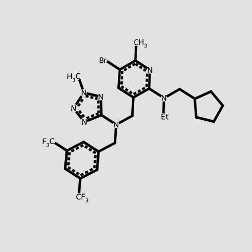 CCN(CC1CCCC1)c1nc(C)c(Br)cc1CN(Cc1cc(C(F)(F)F)cc(C(F)(F)F)c1)c1nnn(C)n1